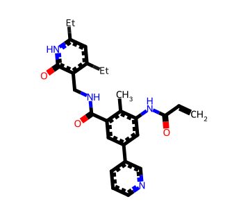 C=CC(=O)Nc1cc(-c2cccnc2)cc(C(=O)NCc2c(CC)cc(CC)[nH]c2=O)c1C